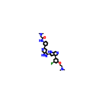 CN(C)CCOc1cc(F)cc(-c2cncc3[nH]c(-c4n[nH]c5cnc(-c6cccc(NC(=O)CN(C)C)c6)cc45)cc23)c1